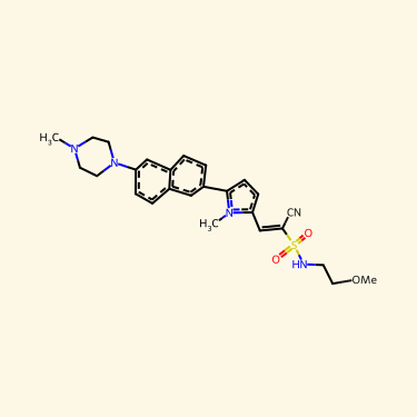 COCCNS(=O)(=O)/C(C#N)=C/c1ccc(-c2ccc3cc(N4CCN(C)CC4)ccc3c2)n1C